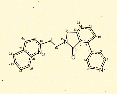 O=C1c2c(-c3ccncc3)ccnc2CN1CCc1ccc2ccccc2n1